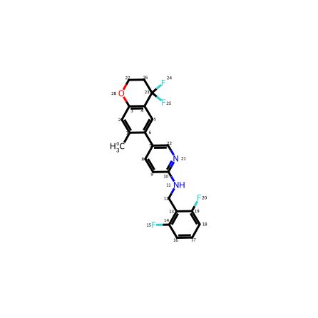 Cc1cc2c(cc1-c1ccc(NCc3c(F)cccc3F)nc1)C(F)(F)CCO2